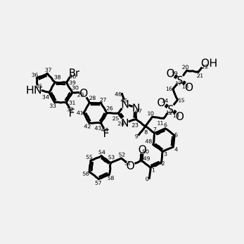 CC(=Cc1cccc(C(C)(CCS(=O)(=O)CCS(=O)(=O)CCO)c2nc(-c3cc(Oc4c(F)cc5[nH]ccc5c4Br)ccc3F)n(C)n2)c1)C(=O)OCc1ccccc1